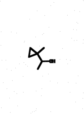 CC(O)C1(C)CC1